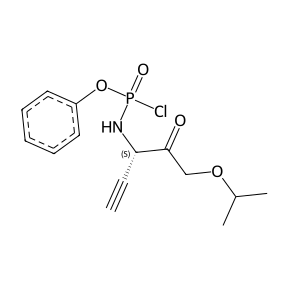 C#C[C@H](NP(=O)(Cl)Oc1ccccc1)C(=O)COC(C)C